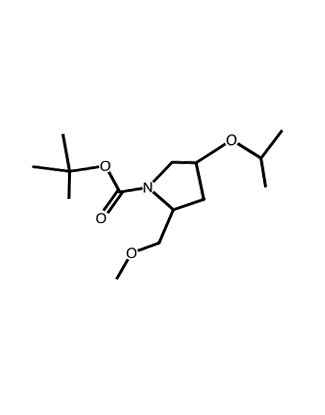 COCC1CC(OC(C)C)CN1C(=O)OC(C)(C)C